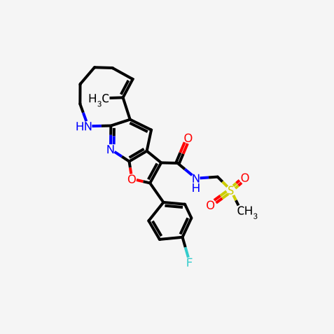 C/C1=C\CCCCNc2nc3oc(-c4ccc(F)cc4)c(C(=O)NCS(C)(=O)=O)c3cc21